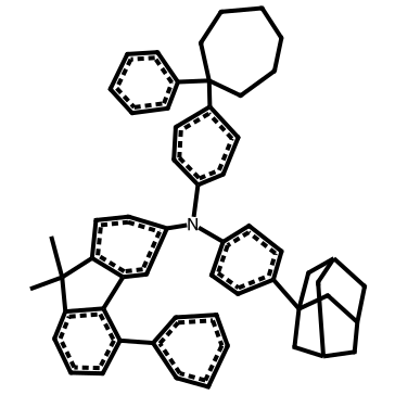 CC1(C)c2ccc(N(c3ccc(C45CC6CC(CC(C6)C4)C5)cc3)c3ccc(C4(c5ccccc5)CCCCCC4)cc3)cc2-c2c(-c3ccccc3)cccc21